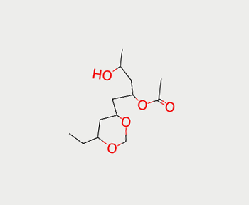 CCC1CC(CC(CC(C)O)OC(C)=O)OCO1